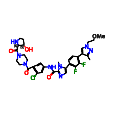 COCCn1cc(-c2ccc(-c3cnc(C(=O)Nc4ccc(C(=O)N5CCN(C(=O)[C@H]6NCC[C@@H]6O)CC5)c(Cl)c4)n3C)c(F)c2F)c(C)n1